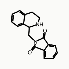 O=C1c2ccccc2C(=O)N1CC1NCCc2ccccc21